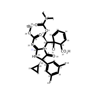 CN(C)C(=O)OC[C@H](N1C(=O)[C@](c2cc(F)cc(F)c2)(C2CC2)N/C1=N/C(=O)OC(C)(C)C)C1(Cl)C=CC=CC1C(=O)O